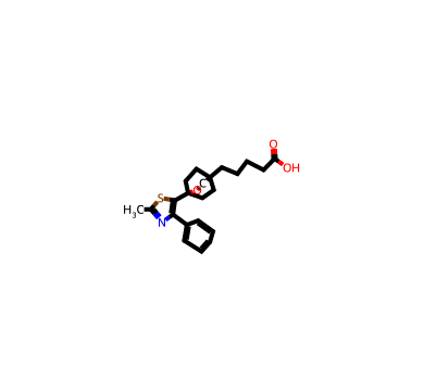 Cc1nc(-c2ccccc2)c(C23CCC(CCCCC(=O)O)(CC2)CO3)s1